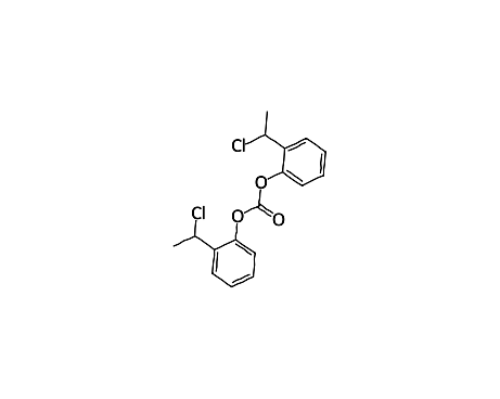 CC(Cl)c1ccccc1OC(=O)Oc1ccccc1C(C)Cl